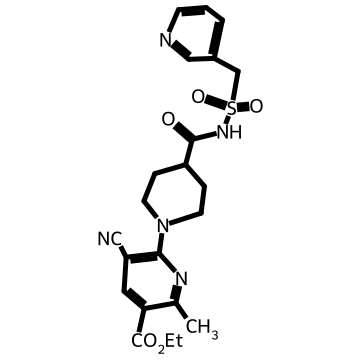 CCOC(=O)c1cc(C#N)c(N2CCC(C(=O)NS(=O)(=O)Cc3cccnc3)CC2)nc1C